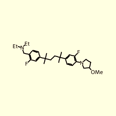 CCN(CC)Cc1ccc(C(C)(C)CCC(C)(C)c2ccc(N3CCC(OC)C3)c(F)c2)cc1F